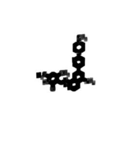 Cc1cc(C)c(CNc2nccc3c(N)cc(-c4ccc(N5CCN(C)CC5)nc4)cc23)c(=O)[nH]1